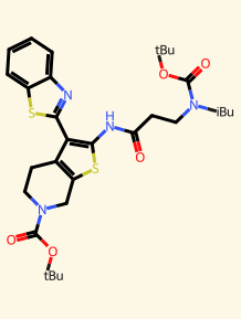 CCC(C)N(CCC(=O)Nc1sc2c(c1-c1nc3ccccc3s1)CCN(C(=O)OC(C)(C)C)C2)C(=O)OC(C)(C)C